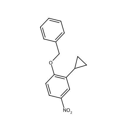 O=[N+]([O-])c1ccc(OCc2ccccc2)c(C2CC2)c1